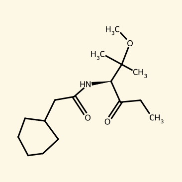 CCC(=O)[C@@H](NC(=O)CC1CCCCC1)C(C)(C)OC